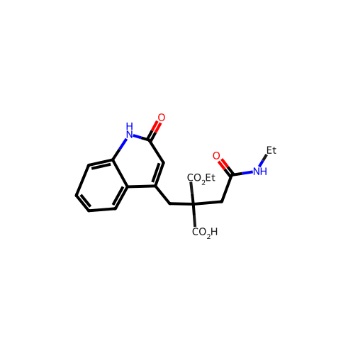 CCNC(=O)CC(Cc1cc(=O)[nH]c2ccccc12)(C(=O)O)C(=O)OCC